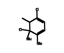 CC1C(Cl)=CC=C(C(C)(C)C)C1(Cl)C(C)(C)C